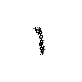 CC(O)c1ccc(C2CCC(CCc3ccc(-c4ccc(C5CO5)c(F)c4F)cc3F)CC2)c(F)c1F